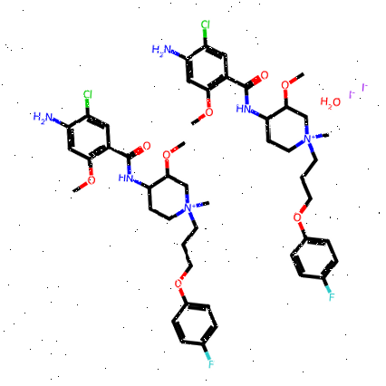 COc1cc(N)c(Cl)cc1C(=O)NC1CC[N+](C)(CCCOc2ccc(F)cc2)CC1OC.COc1cc(N)c(Cl)cc1C(=O)NC1CC[N+](C)(CCCOc2ccc(F)cc2)CC1OC.O.[I-].[I-]